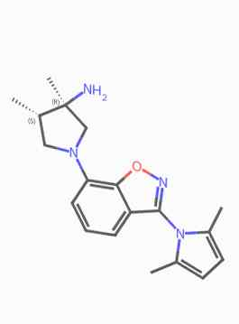 Cc1ccc(C)n1-c1noc2c(N3C[C@H](C)[C@@](C)(N)C3)cccc12